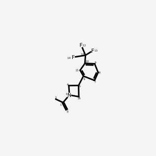 C=C(C)N1CC(c2cccc(C(F)(F)F)c2)C1